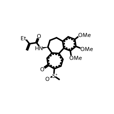 C=C(CC)C(=O)N[C@H]1CCc2cc(OC)c(OC)c(OC)c2-c2ccc([S+](C)[O-])c(=O)cc21